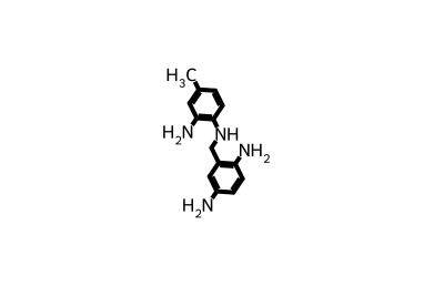 Cc1ccc(NCc2cc(N)ccc2N)c(N)c1